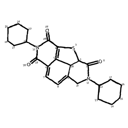 O=C1C2SC3=C4C(=CC=C(CN1C1CCCCC1)C42)C(=O)N(C1CCCCC1)C3=O